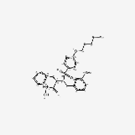 COc1cccc(CN([C@H](Cc2ccccc2)C(=O)NO)S(=O)(=O)c2ccc(OCCCCF)cc2)c1